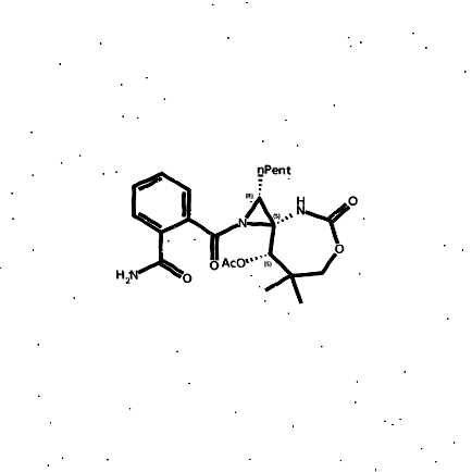 CCCCC[C@H]1N(C(=O)c2ccccc2C(N)=O)[C@@]12NC(=O)OCC(C)(C)[C@@H]2OC(C)=O